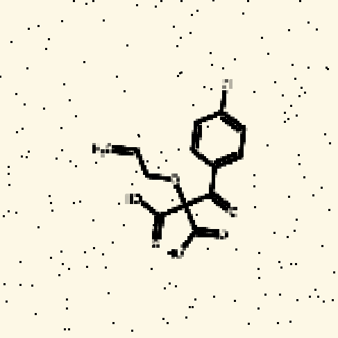 C=CCOC(C(=O)O)(C(=O)O)C(=O)c1ccc(Cl)cc1